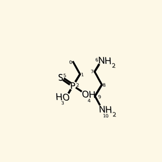 CCP(O)(O)=S.NCCCN